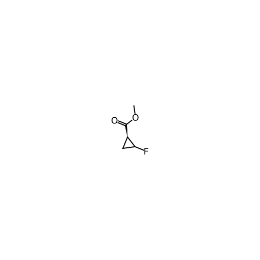 COC(=O)[C@@H]1CC1F